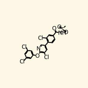 CS(=O)(=O)NC(=O)c1ccc(-c2cnc(Oc3cc(Cl)cc(Cl)c3)c(Cl)c2)c(Cl)c1